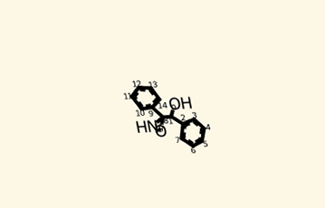 OC(c1ccccc1)C1(c2ccccc2)NO1